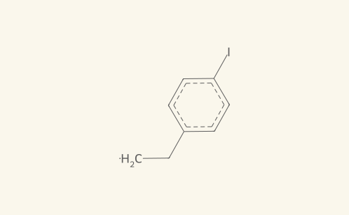 [CH2]Cc1ccc(I)cc1